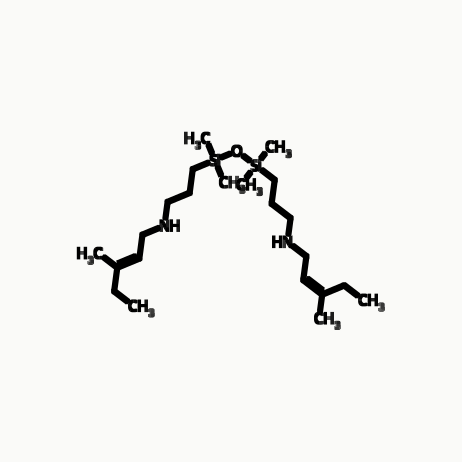 CCC(C)=CCNCCC[Si](C)(C)O[Si](C)(C)CCCNCC=C(C)CC